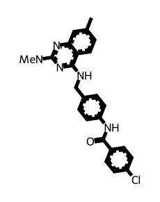 CNc1nc(NCc2ccc(NC(=O)c3ccc(Cl)cc3)cc2)c2ccc(C)cc2n1